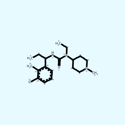 CCC(NC(=O)N(CC)C1CCN(C)CC1)c1cccc(Cl)c1C